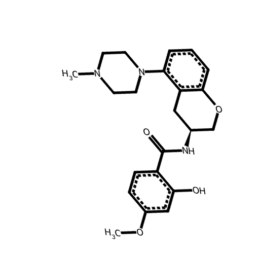 COc1ccc(C(=O)N[C@@H]2COc3cccc(N4CCN(C)CC4)c3C2)c(O)c1